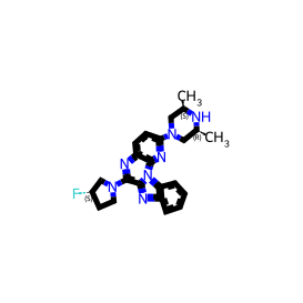 C[C@@H]1CN(c2ccc3nc(N4CC[C@H](F)C4)c4nc5ccccc5n4c3n2)C[C@H](C)N1